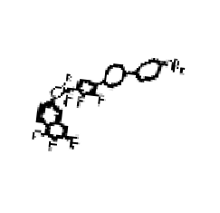 CCCC1CCC(C2CCC(c3ccc(C(F)(F)Oc4ccc5c(F)c(F)c(F)cc5c4)c(F)c3F)CC2)CC1